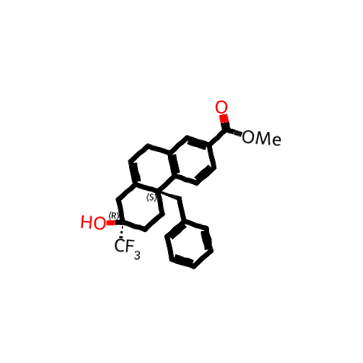 COC(=O)c1ccc2c(c1)CC=C1C[C@@](O)(C(F)(F)F)CC[C@]12Cc1ccccc1